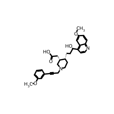 COc1cccc(C#CCN2CC[C@@H](CC[C@@H](O)c3ccnc4ccc(OC)cc34)[C@@H](CC(=O)O)C2)c1